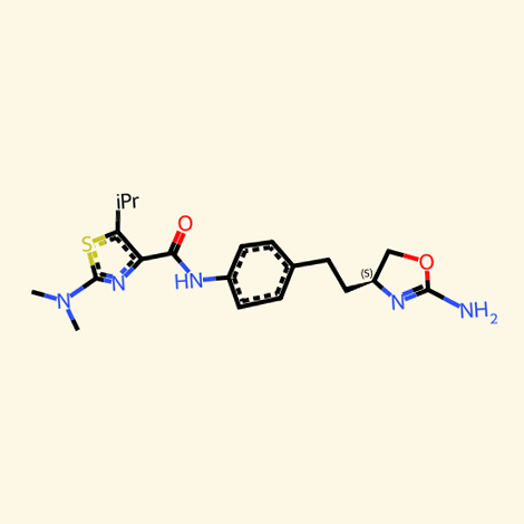 CC(C)c1sc(N(C)C)nc1C(=O)Nc1ccc(CC[C@H]2COC(N)=N2)cc1